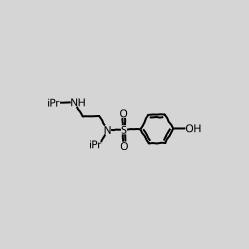 CC(C)NCCN(C(C)C)S(=O)(=O)c1ccc(O)cc1